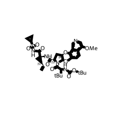 C=C[C@@H]1C[C@]1(NC(=O)[C@@H]1C[C@@H](Oc2c(Cl)ccc3c(OC)cncc23)CN1C(=O)C(NC(=O)OC(C)(C)C)C(C)(C)C)C(=O)NS(=O)(=O)C1CC1